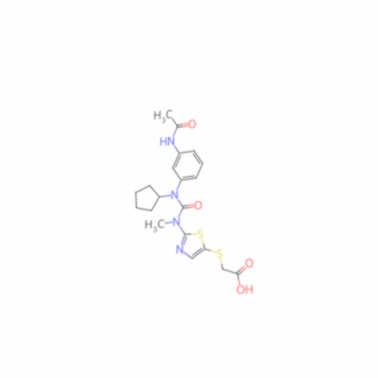 CC(=O)Nc1cccc(N(C(=O)N(C)c2ncc(SCC(=O)O)s2)C2CCCC2)c1